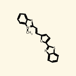 C[n+]1c(/C=C/c2ccc(-c3nc4ccccc4s3)o2)sc2ccccc21